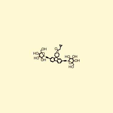 O=C(CC1CC1)N1CCC2(CC1)c1cc(C#C[C@H]3O[C@H](CO)[C@@H](O)[C@H](O)[C@@H]3O)ccc1-c1ccc(C#C[C@H]3O[C@H](CO)[C@@H](O)[C@H](O)[C@@H]3O)cc12